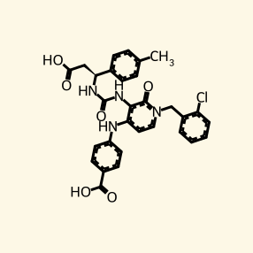 Cc1ccc([C@H](CC(=O)O)NC(=O)Nc2c(Nc3ccc(C(=O)O)cc3)ccn(Cc3ccccc3Cl)c2=O)cc1